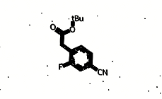 CC(C)(C)OC(=O)Cc1ccc(C#N)cc1F